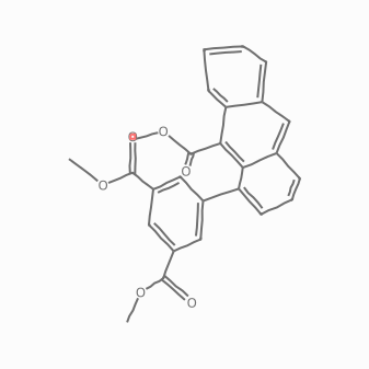 COC(=O)c1cc(C(=O)OC)cc(-c2cccc3cc4ccccc4c(C(=O)OC)c23)c1